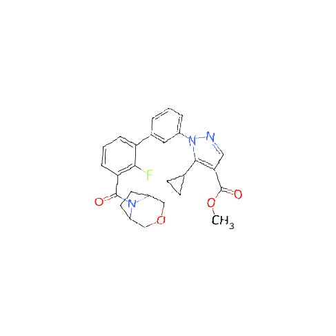 COC(=O)c1cnn(-c2cccc(-c3cccc(C(=O)N4C5CCC4COC5)c3F)c2)c1C1CC1